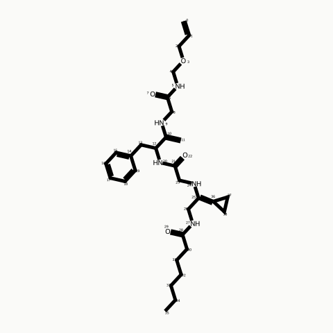 C=CCOCNC(=O)CNC(=C)C(Cc1ccccc1)NC(=O)CNC(CNC(=O)CCCCCC)=C1CC1